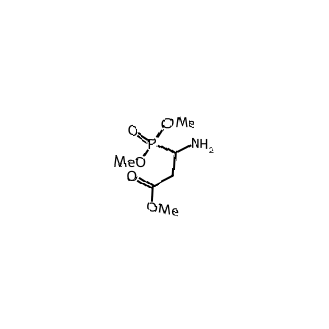 COC(=O)CC(N)P(=O)(OC)OC